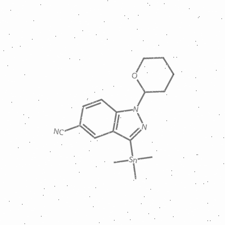 [CH3][Sn]([CH3])([CH3])[c]1nn(C2CCCCO2)c2ccc(C#N)cc12